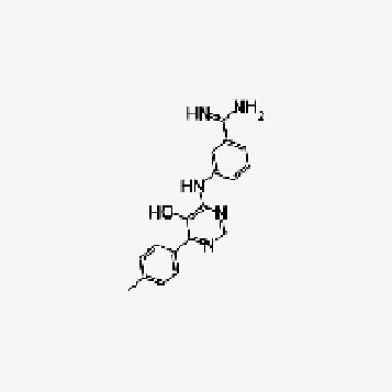 Cc1ccc(-c2ncnc(Nc3cccc(C(=N)N)c3)c2O)cc1